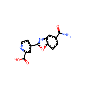 NC(=O)c1ccc2oc(-c3ccnc(C(=O)O)c3)nc2c1